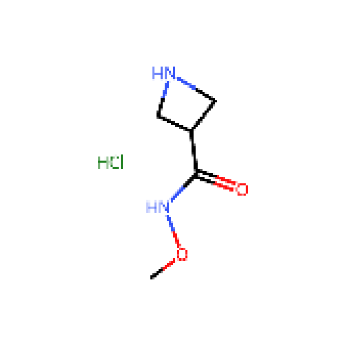 CONC(=O)C1CNC1.Cl